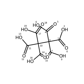 O=C(O)C(C(=O)O)(C(=O)O)C(C(=O)O)(C(=O)O)C(=O)O